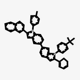 Cc1ccc(-n2c(-c3ccc4ccccc4c3)cc3cc(-c4ccc5cc(C6=CC=CCC6)n(-c6ccc(C(C)(C)C)cc6)c5c4)ccc32)cc1